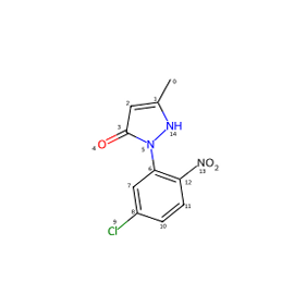 Cc1cc(=O)n(-c2cc(Cl)ccc2[N+](=O)[O-])[nH]1